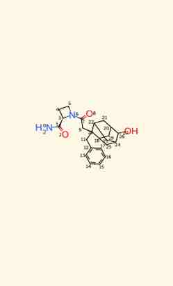 NC(=O)[C@H]1CCN1C(=O)CC1(Cc2ccccc2)C2CC3CC1CC(C2)C3O